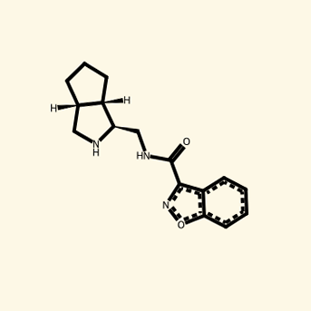 O=C(NC[C@H]1NC[C@@H]2CCC[C@@H]21)c1noc2ccccc12